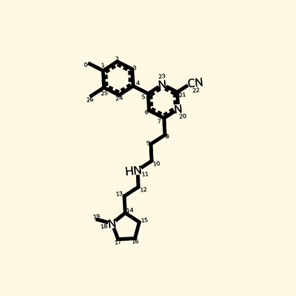 Cc1ccc(-c2cc(CCCNCCC3CCCN3C)nc(C#N)n2)cc1C